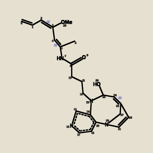 C=C/C=C(\C=C(/C)NC(=O)CCCN1c2cnccc2N2C=C/C(=C/C1O)C2)OC